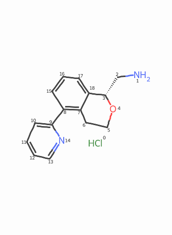 Cl.NC[C@@H]1OCCc2c(-c3ccccn3)cccc21